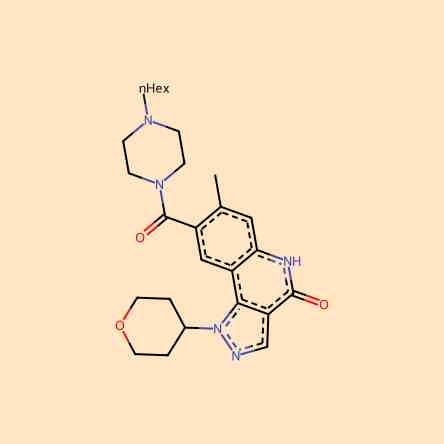 CCCCCCN1CCN(C(=O)c2cc3c(cc2C)[nH]c(=O)c2cnn(C4CCOCC4)c23)CC1